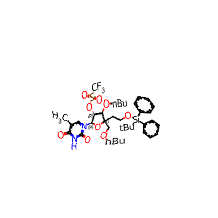 CCCCOC[C@@]1(CCO[Si](c2ccccc2)(c2ccccc2)C(C)(C)C)O[C@@H](n2cc(C)c(=O)[nH]c2=O)[C@H](OS(=O)(=O)C(F)(F)F)C1OCCCC